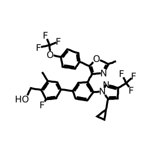 Cc1nc(-c2cc(-c3cc(C)c(CO)c(F)c3)ccc2-n2nc(C(F)(F)F)cc2C2CC2)c(-c2ccc(OC(F)(F)F)cc2)o1